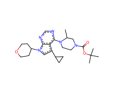 CC1CN(C(=O)OC(C)(C)C)CCN1c1ncnc2c1c(C1CC1)cn2C1CCOCC1